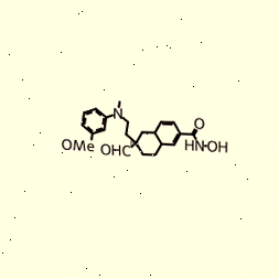 COc1cccc(N(C)CC[C@@]2(C=O)CCC3C=C(C(=O)NO)C=CC3C2)c1